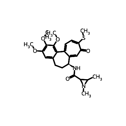 COc1cc2c(c(OC)c1OC)-c1ccc(SC)c(=O)cc1[C@@H](NC(=O)C1C(C)N1C)CC2